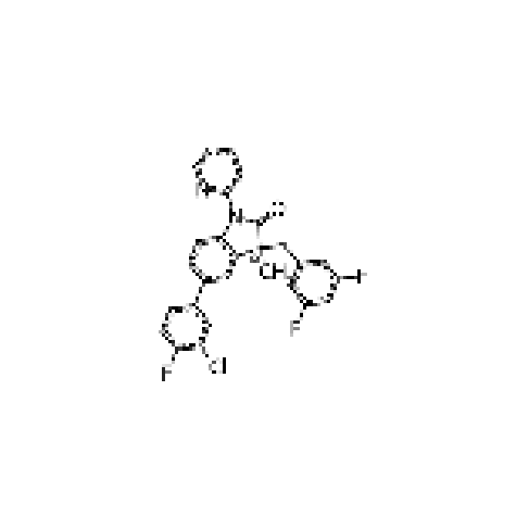 C[C@@]1(Cc2cc(F)cc(F)c2)C(=O)N(c2ccccn2)c2ccc(-c3ccc(F)c(Cl)c3)cc21